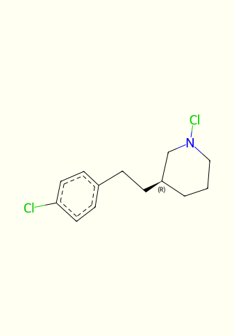 Clc1ccc(CC[C@@H]2CCCN(Cl)C2)cc1